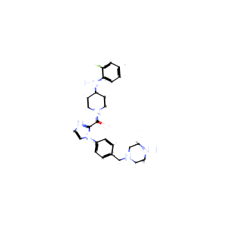 C[C@@H]1CN(Cc2ccc(-n3ccnc3C(=O)N3CCC(Nc4ccccc4F)CC3)cc2)C[C@H](C)N1